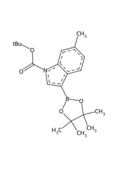 Cc1ccc2c(B3OC(C)(C)C(C)(C)O3)cn(C(=O)OC(C)(C)C)c2c1